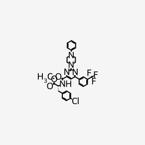 COC(=O)[C@@H](Cc1ccc(Cl)cc1)NC(=O)c1cc(-c2cccc(C(F)(F)F)c2)nc(N2CCN(c3ccccc3)CC2)n1